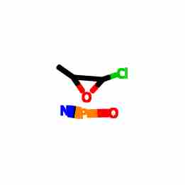 CC1OC1Cl.N#P=O